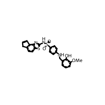 COc1cccc(CNc2ccc(S(=O)(=O)Nc3nc4c5c(ccc4s3)CC=C5)cc2)c1O